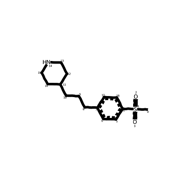 CS(=O)(=O)c1ccc(CCCC2CCNCC2)cc1